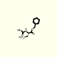 CC(C)(C)C(=O)N[C@@H](CC(=O)O)C(=O)OCc1ccccc1